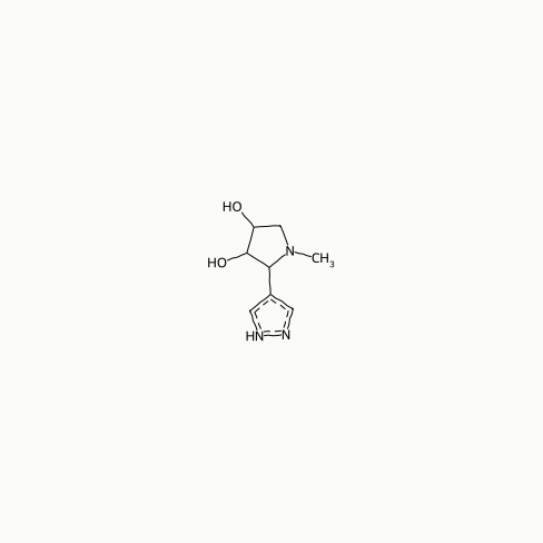 CN1CC(O)C(O)C1c1cn[nH]c1